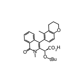 Cc1c(-c2c([C@H](OC(C)(C)C)C(=O)O)n(C)c(=O)c3ccccc23)ccc2c1CCCO2